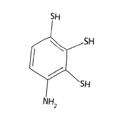 Nc1ccc(S)c(S)c1S